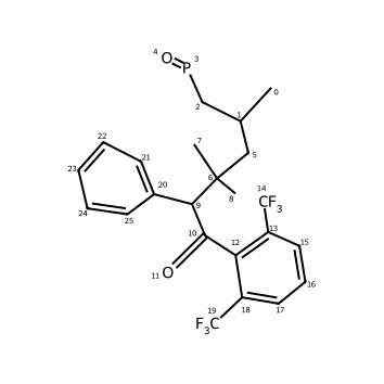 CC(CP=O)CC(C)(C)C(C(=O)c1c(C(F)(F)F)cccc1C(F)(F)F)c1ccccc1